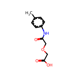 Cc1ccc(NC(=O)COCC(=O)O)cc1